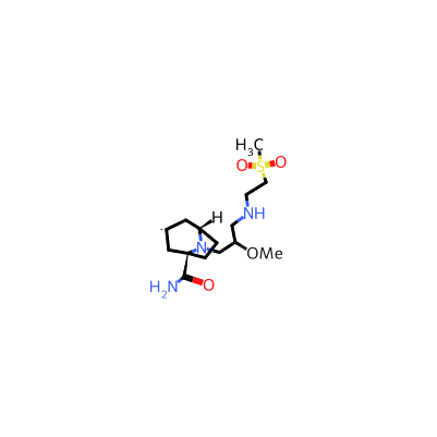 COC(CNCCS(C)(=O)=O)CN1[C@@H]2C[CH]C[C@@]1(C(N)=O)CC2